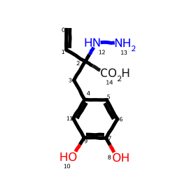 C=CC(Cc1ccc(O)c(O)c1)(NN)C(=O)O